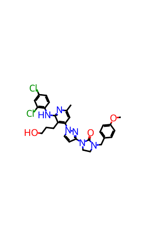 COc1ccc(CN2CCN(c3ccn(-c4cc(C)nc(Nc5ccc(Cl)cc5Cl)c4CCCO)n3)C2=O)cc1